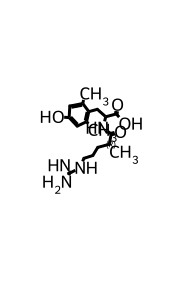 Cc1cc(O)cc(C)c1CC(NC(=O)[C@H](C)CCCNC(=N)N)C(=O)O